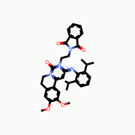 COc1cc2c(cc1OC)-c1c/c(=N\c3c(C(C)C)cccc3C(C)C)n(CCN3C(=O)c4ccccc4C3=O)c(=O)n1CC2